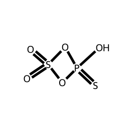 O=S1(=O)OP(O)(=S)O1